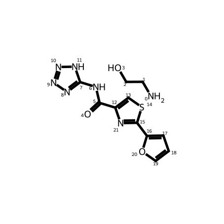 NCCO.O=C(Nc1nnn[nH]1)c1csc(-c2ccco2)n1